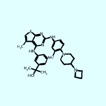 COc1cc(Nc2nc(Nc3cccc(C(C)(C)O)c3)c3c(C)csc3n2)ccc1N1CCC(N2CCC2)CC1